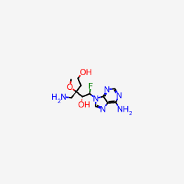 CO[C@](CN)(CCO)[C@@H](O)[C@@H](F)n1cnc2c(N)ncnc21